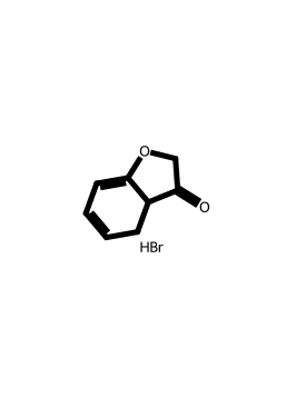 Br.O=C1COC2=CC=CCC12